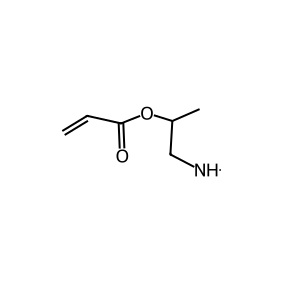 C=CC(=O)OC(C)C[NH]